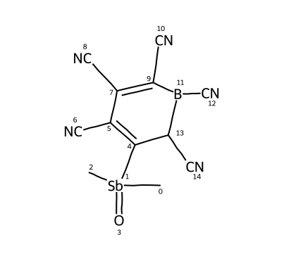 [CH3][Sb]([CH3])(=[O])[C]1=C(C#N)C(C#N)=C(C#N)B(C#N)C1C#N